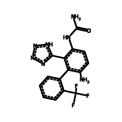 NC(=O)Nc1ccc(N)c(-c2ccccc2C(F)(F)F)c1-c1nnn[nH]1